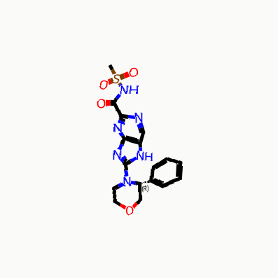 CS(=O)(=O)NC(=O)c1ncc2[nH]c(N3CCOC[C@H]3c3ccccc3)nc2n1